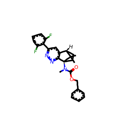 CN(C(=O)OCc1ccccc1)[C@@]12CC[C@@H](c3cc(-c4c(F)cccc4F)nnc31)C2(C)C